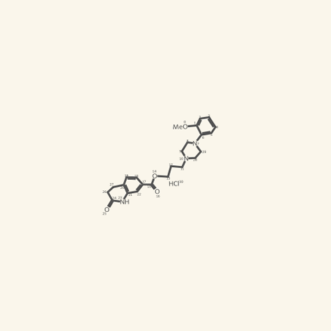 COc1ccccc1N1CCN(CCCOC(=O)c2ccc3c(c2)NC(=O)CC3)CC1.Cl